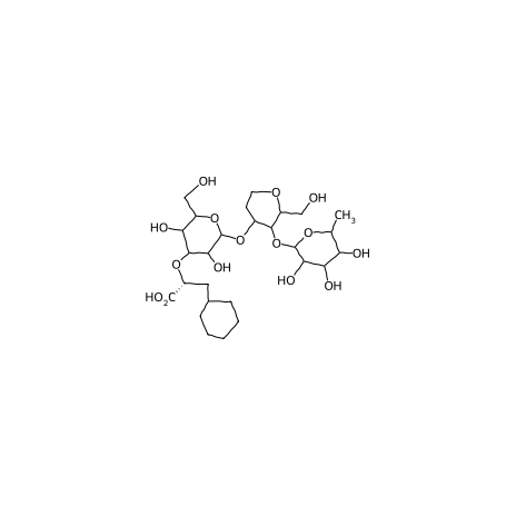 CC1OC(OC2C(CO)OCCC2OC2OC(CO)C(O)C(O[C@H](CC3CCCCC3)C(=O)O)C2O)C(O)C(O)C1O